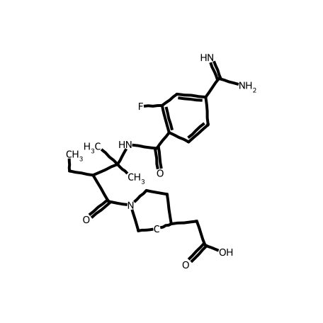 CCC(C(=O)N1CCC(CC(=O)O)CC1)C(C)(C)NC(=O)c1ccc(C(=N)N)cc1F